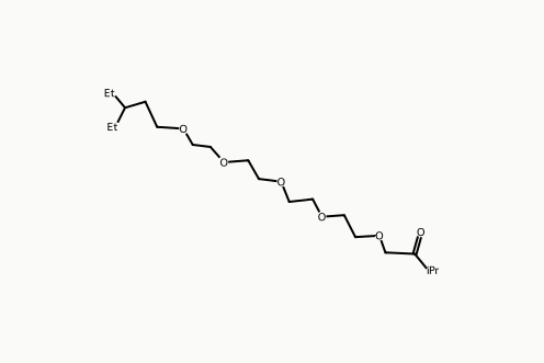 CCC(CC)CCOCCOCCOCCOCCOCC(=O)C(C)C